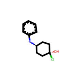 O[C@]1(Cl)CC[C@@H]([N]c2ccccc2)CC1